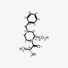 CC(C)[C@H](N)C(=O)N1CCN(Cc2ccccc2)C[C@H]1C(=O)O